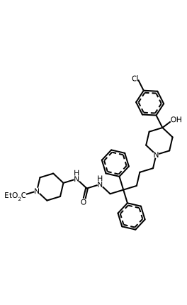 CCOC(=O)N1CCC(NC(=O)NCC(CCCN2CCC(O)(c3ccc(Cl)cc3)CC2)(c2ccccc2)c2ccccc2)CC1